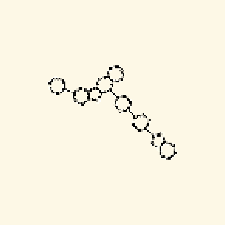 c1ccc(-c2ccc3oc4c(-c5ccc(-c6ccc(-c7cn8ccccc8n7)cc6)cc5)c5ccccc5cc4c3c2)cc1